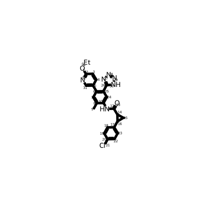 CCOc1ccc(-c2cc(C)c(NC(=O)C3CC3c3ccc(Cl)cc3)cc2-c2nnn[nH]2)cn1